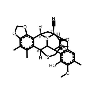 COc1c(C)cc2c(c1O)C1C3[C@@H]4SCC(=O)C(=O)NC[C@@H](c5c6c(c(C)c(C)c54)OCO6)N3[C@@H](C#N)C(C2)N1C